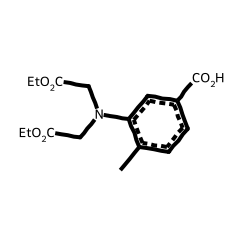 CCOC(=O)CN(CC(=O)OCC)c1cc(C(=O)O)ccc1C